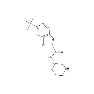 CC(C)(C)c1ccc2cc(C(=O)N[C@H]3CCCNC3)[nH]c2c1